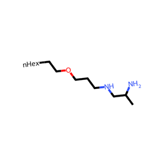 CCCCCCCCOCCCNCC(C)N